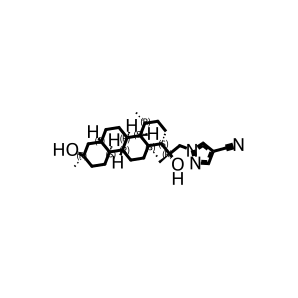 C[C@@H]1CC[C@H]([C@@](C)(O)Cn2cc(C#N)cn2)[C@@]2(C)CC[C@H]3[C@@H](CC[C@H]4C[C@](C)(O)CC[C@@H]43)[C@H]12